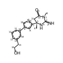 CN1C(=N)N[C@](C)(c2cc(-c3cccc(CCO)c3)cs2)CC1=O